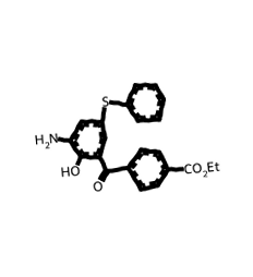 CCOC(=O)c1ccc(C(=O)c2cc(Sc3ccccc3)cc(N)c2O)cc1